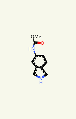 COC(=O)Nc1ccc2c[nH]cc2c1